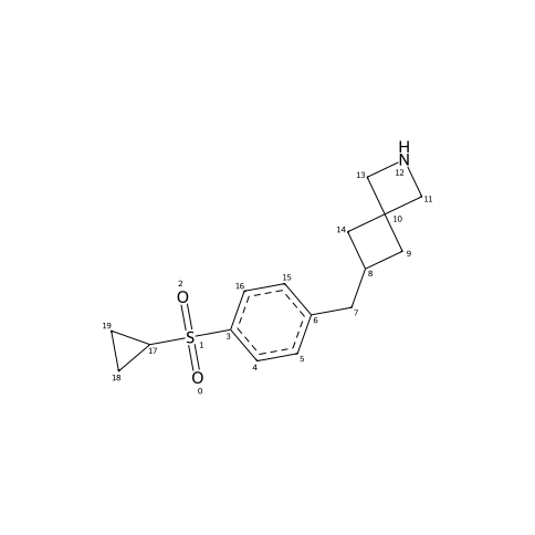 O=S(=O)(c1ccc(CC2CC3(CNC3)C2)cc1)C1CC1